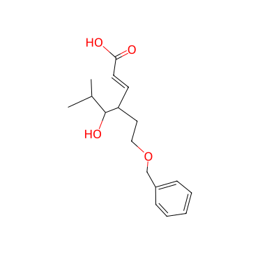 CC(C)C(O)C(/C=C/C(=O)O)CCOCc1ccccc1